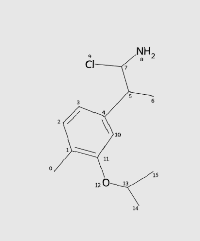 Cc1ccc(C(C)C(N)Cl)cc1OC(C)C